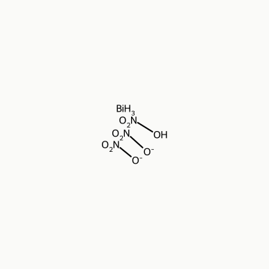 O=[N+]([O-])O.O=[N+]([O-])[O-].O=[N+]([O-])[O-].[BiH3]